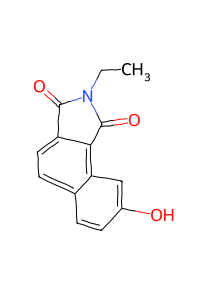 CCN1C(=O)c2ccc3ccc(O)cc3c2C1=O